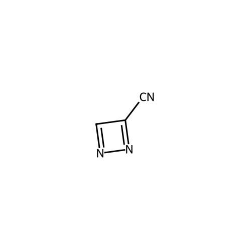 N#CC1=NN=C1